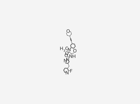 CN1C(=O)C(NC(=O)n2cc(Cc3cccnc3F)cn2)COc2ccc(C#CC3CCOCC3)cc21